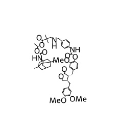 COc1ccc(C[C@H]2COC(=O)[C@@H]2Cc2ccc(OC(=O)Nc3ccc(CNCC(C)(C)C(=O)OC(C)OC(=O)NC45CC6CC(C)(CC(C)(C6)C4)C5)cc3)c(OC)c2)cc1OC